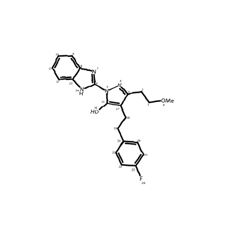 COCCc1nn(-c2nc3ccccc3[nH]2)c(O)c1CCc1ccc(F)cc1